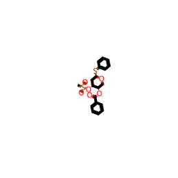 CS(=O)(=O)O[C@@H]1C[C@@H](Sc2ccccc2)OC[C@@H]1OC(=O)c1ccccc1